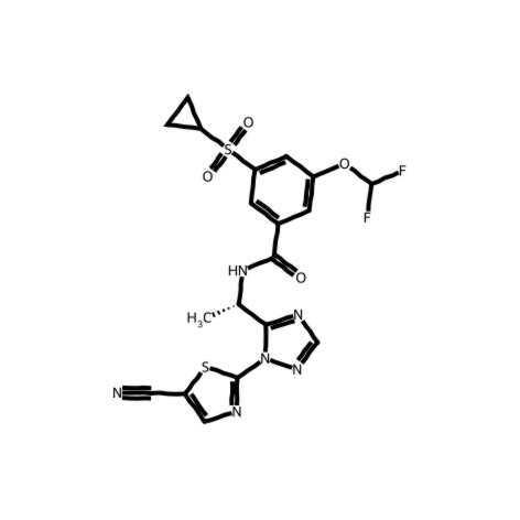 C[C@H](NC(=O)c1cc(OC(F)F)cc(S(=O)(=O)C2CC2)c1)c1ncnn1-c1ncc(C#N)s1